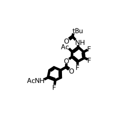 CC(=O)Nc1ccc(C(=O)Oc2c(F)c(F)c(F)c(NC(=O)C(C)(C)C)c2C(C)=O)cc1F